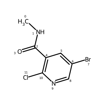 CNC(=O)c1cc(Br)cnc1Cl